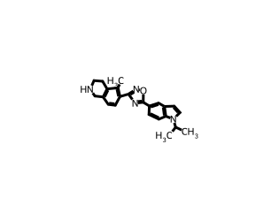 Cc1c(-c2noc(-c3ccc4c(ccn4C(C)C)c3)n2)ccc2c1CCNC2